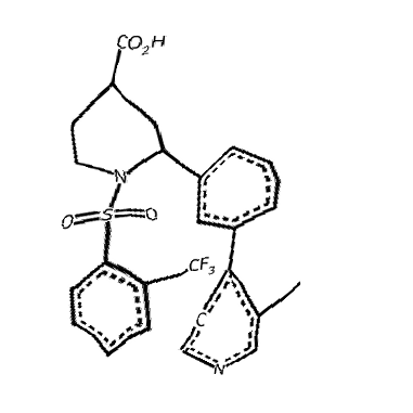 Cc1cnccc1-c1cccc(C2CC(C(=O)O)CCN2S(=O)(=O)c2ccccc2C(F)(F)F)c1